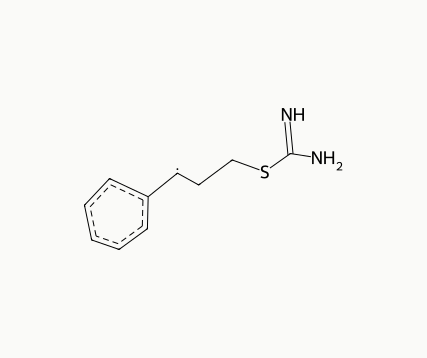 N=C(N)SCC[CH]c1ccccc1